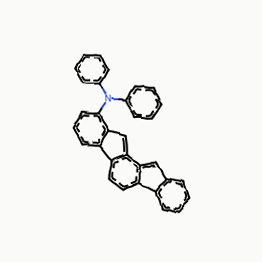 C1=c2c(ccc3c2=Cc2c-3cccc2N(c2ccccc2)c2ccccc2)-c2ccccc21